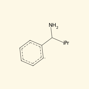 CC(C)C(N)c1[c]cccc1